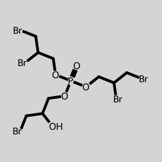 O=P(OCC(O)CBr)(OCC(Br)CBr)OCC(Br)CBr